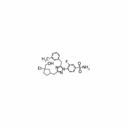 CCC1(CO)CCC(Cc2nc(Cc3cccc(C)c3)n(-c3ccc(S(N)(=O)=O)cc3F)n2)C1